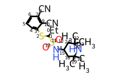 CCC(Sc1cccc(C#N)c1C#N)S(=O)(=O)NC1CC(C)(C)NC(C)(C)C1